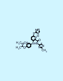 Cc1nsc(NC(=O)c2nc(Sc3nnc[nH]3)ccc2Sc2ccc(OC(C)N(C)C)cc2)n1